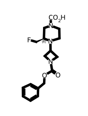 O=C(O)N1CCN(C2CN(C(=O)OCc3ccccc3)C2)[C@@H](CF)C1